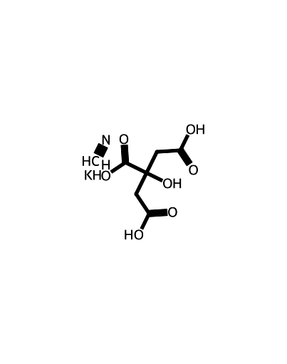 C#N.O=C(O)CC(O)(CC(=O)O)C(=O)O.[KH]